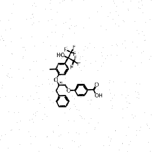 Cc1cc(C(O)(C(F)(F)F)C(F)(F)F)ccc1O[C@@H](COc1ccc(C(=O)O)cc1)Cc1ccccc1